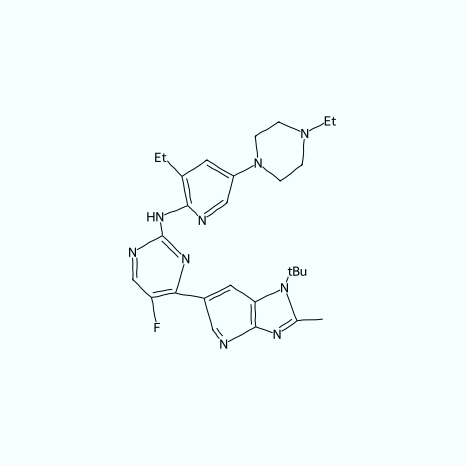 CCc1cc(N2CCN(CC)CC2)cnc1Nc1ncc(F)c(-c2cnc3nc(C)n(C(C)(C)C)c3c2)n1